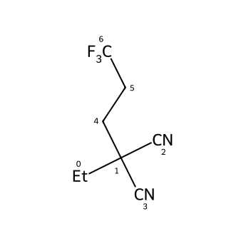 CCC(C#N)(C#N)CCC(F)(F)F